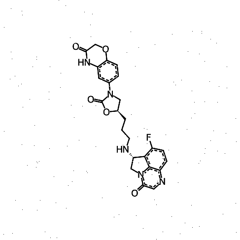 O=C1COc2ccc(N3C[C@@H](CCCN[C@H]4Cn5c(=O)cnc6ccc(F)c4c65)OC3=O)cc2N1